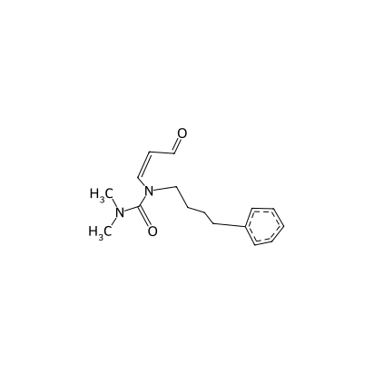 CN(C)C(=O)N(/C=C\C=O)CCCCc1ccccc1